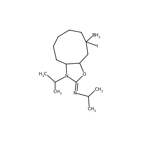 BC1(I)CCCCCC2C(C1)O/C(=N\C(C)C)N2C(C)C